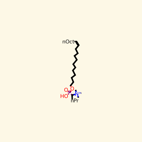 CCCCCCCC/C=C\CCCCCCCCCCCOP(=O)(O)C(CCC)[N+](C)(C)C